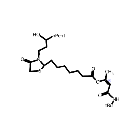 CCCCCC(O)CCN1C(=O)CSC1CCCCCCC(=O)O/C(C)=C\C(=O)NC(C)(C)C